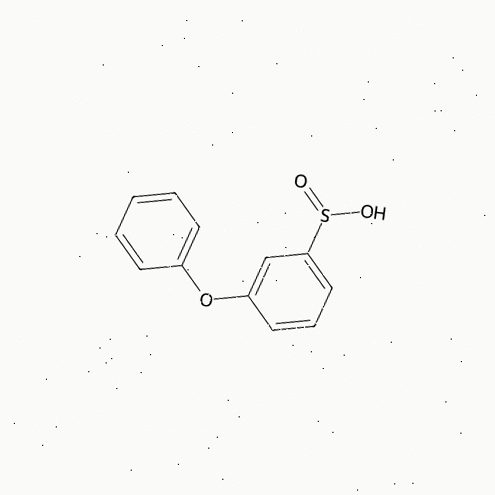 O=S(O)c1cccc(Oc2ccccc2)c1